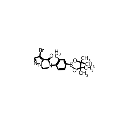 Cc1cc(B2OC(C)(C)C(C)(C)O2)ccc1N1CCn2ncc(Br)c2C1=O